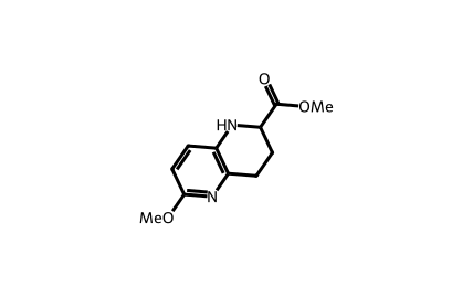 COC(=O)C1CCc2nc(OC)ccc2N1